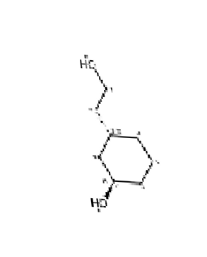 OCC[C@@H]1CCC[C@@H](O)C1